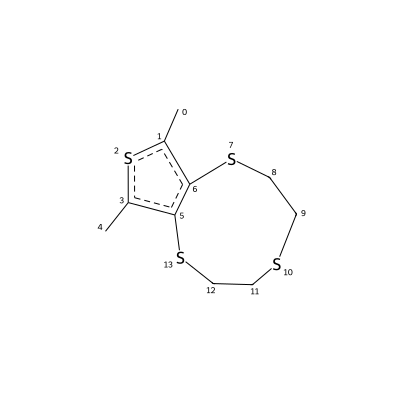 Cc1sc(C)c2c1SCCSCCS2